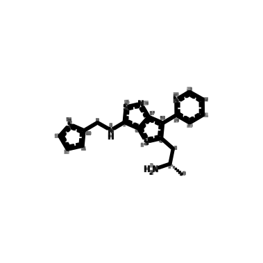 C[C@H](N)Cc1sc2c(NCc3cccs3)snc2c1-c1ccccn1